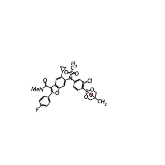 CNC(=O)c1c(-c2ccc(F)cc2)oc2cc(N(c3ccc([B-]45OCC(C)(CO4)CO5)c(Cl)c3)S(C)(=O)=O)c(C3CC3)cc12